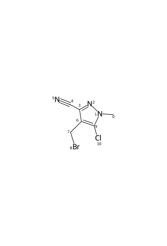 Cn1nc(C#N)c(CBr)c1Cl